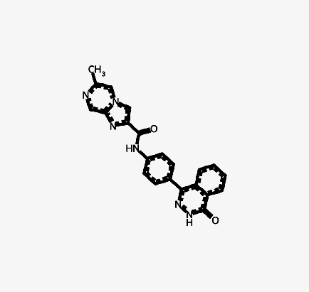 Cc1cn2cc(C(=O)Nc3ccc(-c4n[nH]c(=O)c5ccccc45)cc3)nc2cn1